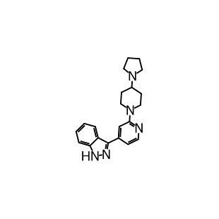 c1ccc2c(-c3ccnc(N4CCC(N5CCCC5)CC4)c3)n[nH]c2c1